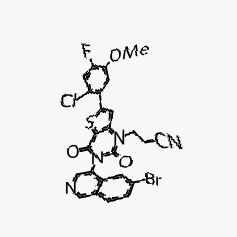 COc1cc(-c2cc3c(s2)c(=O)n(-c2cncc4ccc(Br)cc24)c(=O)n3CCC#N)c(Cl)cc1F